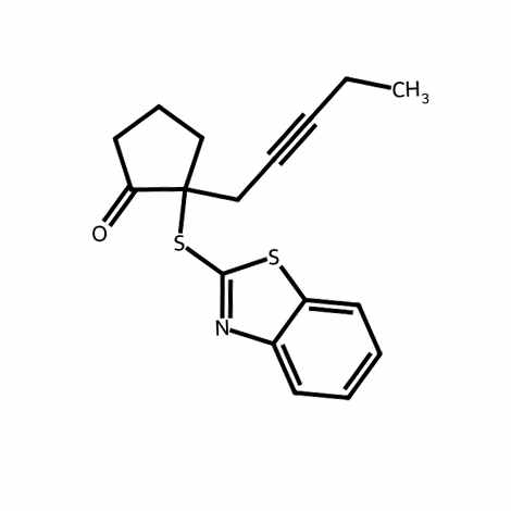 CCC#CCC1(Sc2nc3ccccc3s2)CCCC1=O